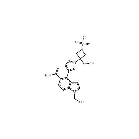 CCS(=O)(=O)N1CC(CC#N)(n2cc(-c3c(C(N)=O)cnc4c3ccn4CO)cn2)C1